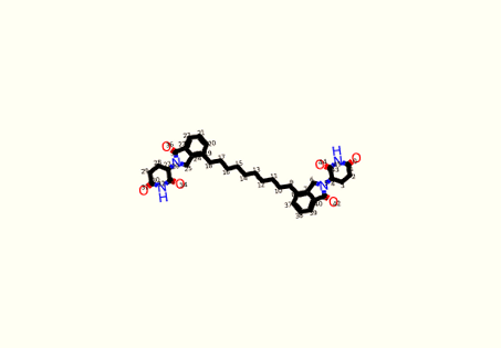 O=C1CCC(N2Cc3c(CCCCCCCCCCc4cccc5c4CN(C4CCC(=O)NC4=O)C5=O)cccc3C2=O)C(=O)N1